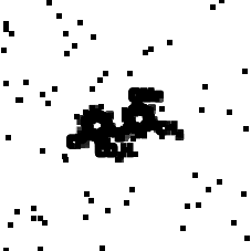 COc1cc(C)nc(Sc2cccc(Cl)c2C(=O)O)n1